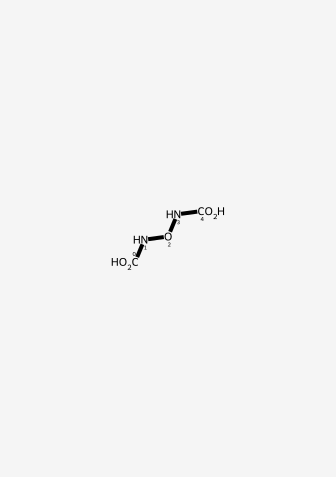 O=C(O)NONC(=O)O